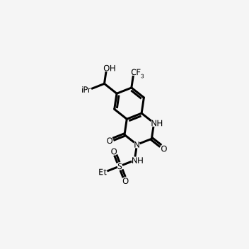 CCS(=O)(=O)Nn1c(=O)[nH]c2cc(C(F)(F)F)c(C(O)C(C)C)cc2c1=O